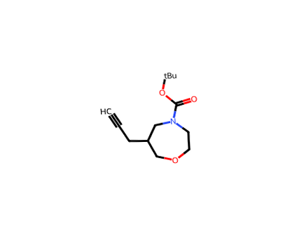 C#CCC1COCCN(C(=O)OC(C)(C)C)C1